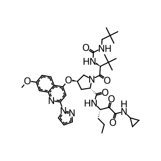 CCC[C@H](NC(=O)[C@@H]1C[C@@H](Oc2cc(-n3cccn3)nc3cc(OC)ccc23)CN1C(=O)[C@@H](NC(=O)NCC(C)(C)C)C(C)(C)C)C(=O)C(=O)NC1CC1